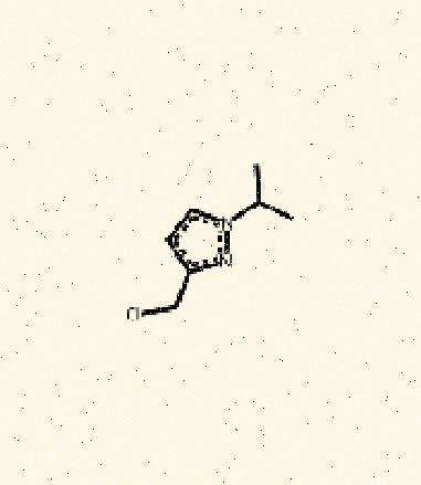 CC(C)n1ccc(CCl)n1